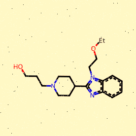 CCOCCn1c(C2CCN(CCCO)CC2)nc2ccccc21